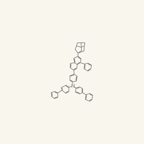 c1ccc(-c2ccc(N(c3ccc(-c4ccccc4)cc3)c3ccc(-c4ccc5cc(C67CC8CC9CC(C6)C98C7)cc(-c6ccccc6)c5c4)cc3)cc2)cc1